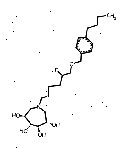 CCCCc1ccc(COCC(F)CCCCN2C[C@H](O)[C@@H](O)[C@H](O)[C@@H](O)C2)cc1